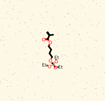 C=C(C)C(=O)OCCCCO[Si](OCC)(OCC)OCC